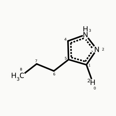 [2H]c1n[nH]cc1CCC